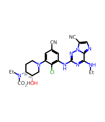 CCNc1nc(Nc2cc(C#N)cc(N3CC[C@@H](N(CC)C(=O)O)[C@@H](O)C3)c2Cl)nn2c(C#N)cnc12